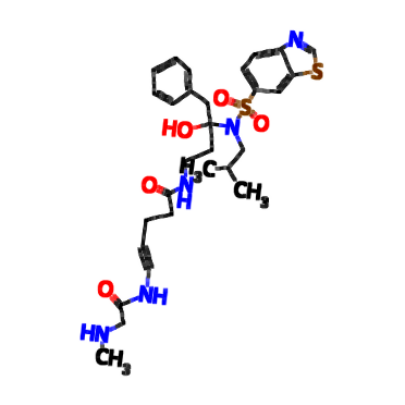 CNCC(=O)NC#CCCC(=O)NCCC(O)(Cc1ccccc1)N(CC(C)C)S(=O)(=O)c1ccc2ncsc2c1